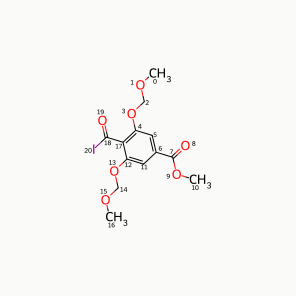 COCOc1cc(C(=O)OC)cc(OCOC)c1C(=O)I